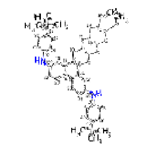 CCCCCCCCc1c(CCCCCCCC)c2cc(Nc3ccc(C(C)(C)C)cc3)ccc2c2ccc(Nc3ccc(C(C)(C)C)cc3)cc12